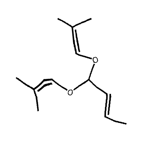 CC=CC(OC=C(C)C)OC=C(C)C